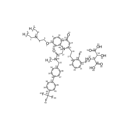 CCN(CC)CCOc1ccc2c(=O)cc(CCc3cccc(F)c3F)n(CC(=O)N(C)Cc3ccc(-c4ccc(C(F)(F)F)cc4)cc3)c2c1.O=C(O)C(O)C(O)C(=O)O